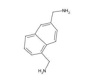 NCc1ccc2c(CN)cccc2c1